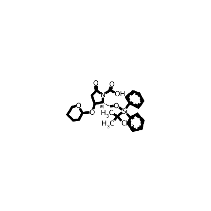 CC(C)(C)[Si](OC[C@@H]1C(OC2CCCCO2)CC(=O)N1C(=O)O)(c1ccccc1)c1ccccc1